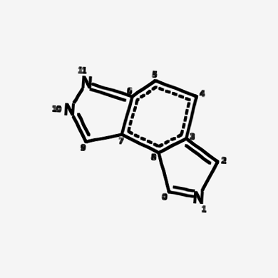 C1=NC=c2ccc3c(c21)C=NN=3